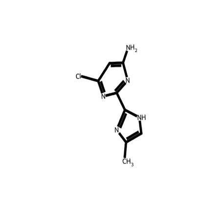 Cc1c[nH]c(-c2nc(N)cc(Cl)n2)n1